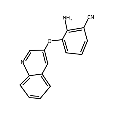 N#Cc1cccc(Oc2cnc3ccccc3c2)c1N